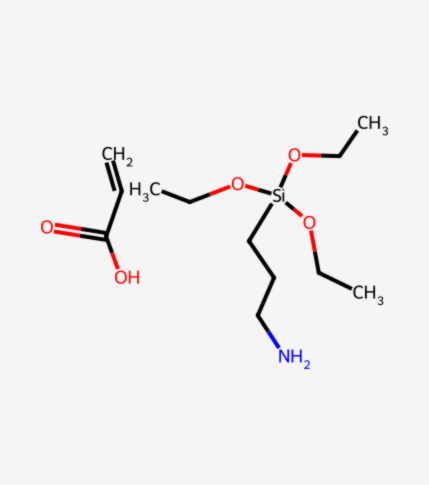 C=CC(=O)O.CCO[Si](CCCN)(OCC)OCC